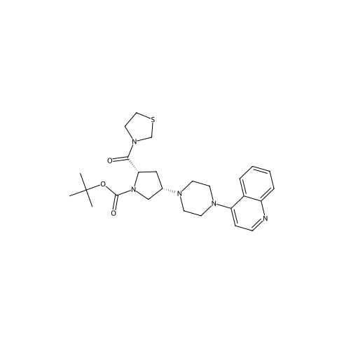 CC(C)(C)OC(=O)N1C[C@@H](N2CCN(c3ccnc4ccccc34)CC2)C[C@H]1C(=O)N1CCSC1